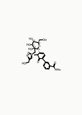 CNC(=O)c1cccc(C2=CC=C([C@H]3O[C@H](CO)[C@@H](O)[C@H](O)[C@@]3(O)Cn3cc(CO)nn3)C(C)C2=O)c1